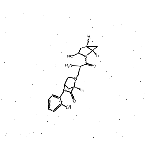 N#Cc1ccccc1N1C(=O)[C@@H]2CC1CN2CC(N)C(=O)N1C(C#N)C[C@@H]2C[C@@H]21